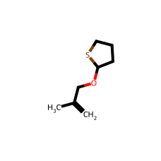 C=C(C)COC1CCCS1